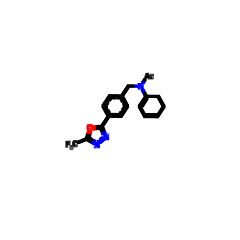 CC(=O)N(Cc1ccc(-c2nnc(C(F)(F)F)o2)cc1)C1=CC=CCC1